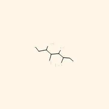 OC(CCl)C(O)C(Cl)C(O)CCl